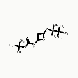 CC(C)(C)OC(=O)NC1CC(O[Si](C)(C)C(C)(C)C)O1